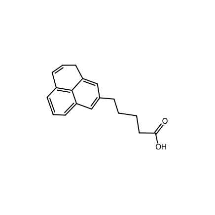 O=C(O)CCCCc1cc2c3c(cccc3c1)C=CC2